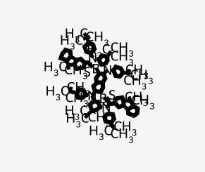 CC(C)(C)c1ccc(N2c3cc4cc5c(cc4cc3B3c4sc6cc7c(cc6c4N(c4ccc(C(C)(C)C)cc4)c4cc(C(C)(C)C)cc2c43)-c2ccccc2C7(C)C)N(c2ccc(C(C)(C)C)cc2)c2cc(C(C)(C)C)cc3c2B5c2sc4cc5c(cc4c2N3c2ccc(C(C)(C)C)cc2)-c2ccccc2C5(C)C)cc1